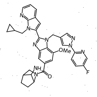 COc1cc(C(=O)N2CC3CCC2C3N)cc2nc(-c3cc4cccnc4n3CC3CC3)n(Cc3cnn(-c4ccc(F)cn4)c3)c12